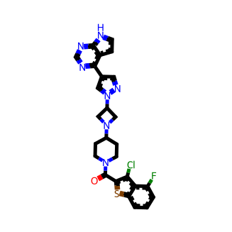 O=C(c1sc2cccc(F)c2c1Cl)N1CCC(N2CC(n3cc(-c4ncnc5[nH]ccc45)cn3)C2)CC1